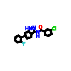 O=C(Nc1n[nH]c2cc(-c3ccccc3F)ccc12)c1cccc(Cl)c1